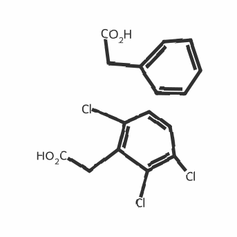 O=C(O)Cc1c(Cl)ccc(Cl)c1Cl.O=C(O)Cc1ccccc1